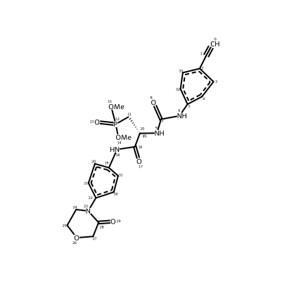 C#Cc1ccc(NC(=O)N[C@@H](CP(=O)(OC)OC)C(=O)Nc2ccc(N3CCOCC3=O)cc2)cc1